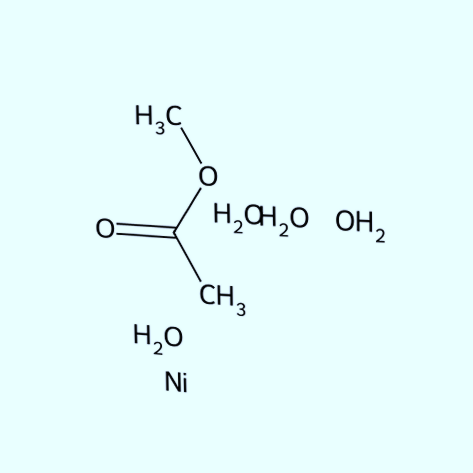 COC(C)=O.O.O.O.O.[Ni]